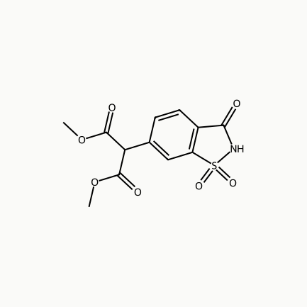 COC(=O)C(C(=O)OC)c1ccc2c(c1)S(=O)(=O)NC2=O